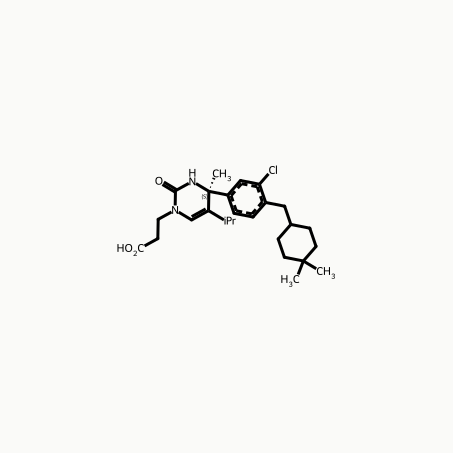 CC(C)C1=CN(CCC(=O)O)C(=O)N[C@@]1(C)c1ccc(CC2CCC(C)(C)CC2)c(Cl)c1